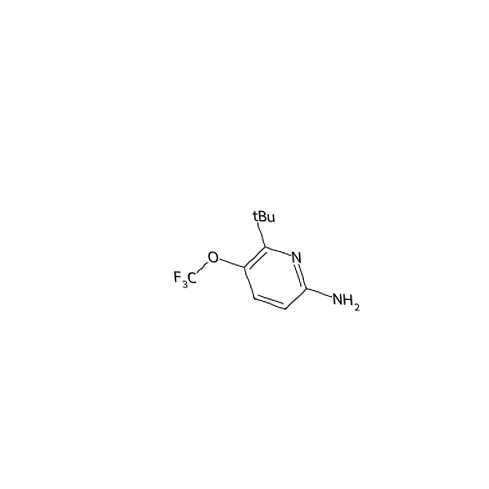 CC(C)(C)c1nc(N)ccc1OC(F)(F)F